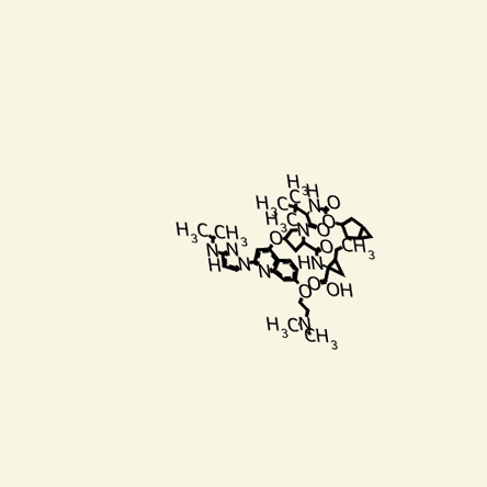 CCC1C[C@]1(NC(=O)C1CC(Oc2cc(-n3ccc(NC(C)C)n3)nc3cc(OCCN(C)C)ccc23)CN1C(=O)[C@@H](NC(=O)OC1CC2CC2C1)C(C)(C)C)C(=O)O